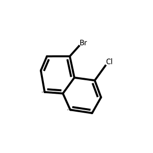 Clc1cc[c]c2[c]ccc(Br)c12